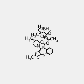 BC(C(=O)OC(C)OC(=O)N1C(N2CCN(C)CC2)=c2cc(C)sc2=Nc2ccccc21)C(C)(C)C